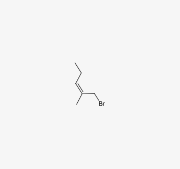 CCC=C(C)CBr